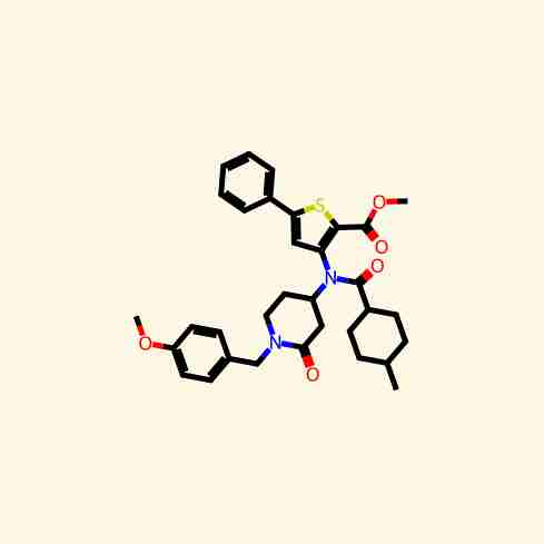 COC(=O)c1sc(-c2ccccc2)cc1N(C(=O)C1CCC(C)CC1)C1CCN(Cc2ccc(OC)cc2)C(=O)C1